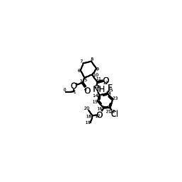 CCOC(=O)C1CCCCC1C(=O)Nc1cc(OC(C)C)c(Cl)cc1F